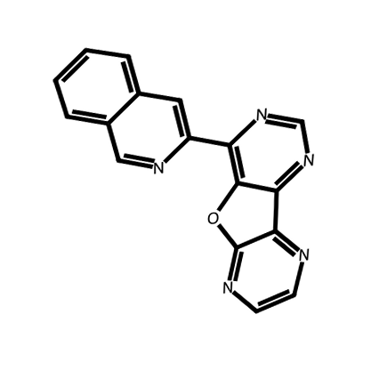 c1ccc2cc(-c3ncnc4c3oc3nccnc34)ncc2c1